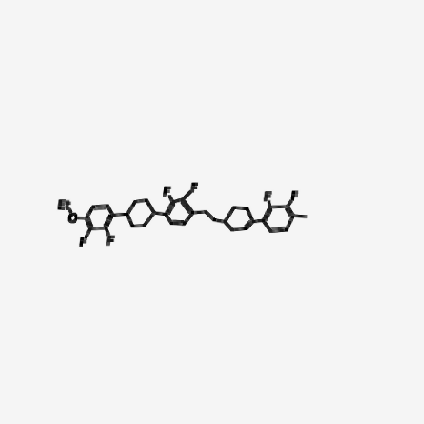 CCOc1ccc(C2CCC(c3ccc(CCC4CC=C(c5ccc(C)c(F)c5F)CC4)c(F)c3F)CC2)c(F)c1F